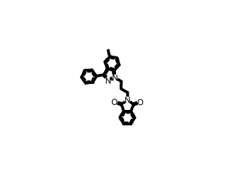 Cc1ccc2c(c1)c(-c1ccccc1)nn2CCCN1C(=O)c2ccccc2C1=O